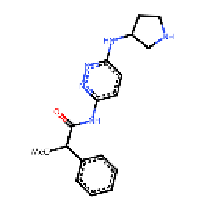 COC(C(=O)Nc1ccc(NC2CCNC2)nn1)c1ccccc1